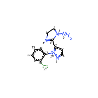 NN1CCN=C1c1ccnn1-c1ccccc1Cl